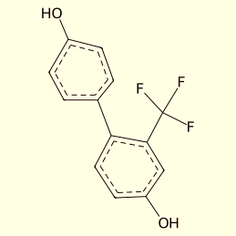 Oc1ccc(-c2ccc(O)cc2C(F)(F)F)cc1